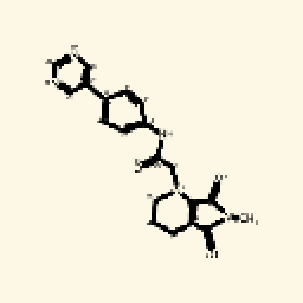 CN1C(=O)C2=C(C1=O)N(CC(=O)Nc1ccc(-c3cncnc3)cc1)CCC2